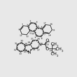 C1=Cc2ccc3c4c(ccc3c2CC1)=CCCC=4.CC(C)(C)OC(=O)n1ccc2c3ccccc3nc-2c1